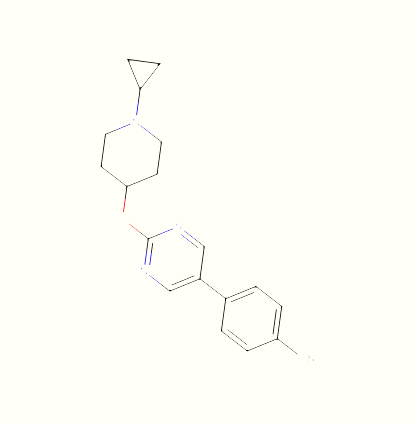 N#Cc1ccc(-c2cnc(OC3CCN(C4CC4)CC3)nc2)cc1